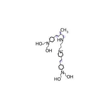 C/C=C(\C=C/NCCCC[n+]1ccc(/C=C/c2ccc(N(CCO)CCO)cc2)cc1)/C=C/c1ccc(N(CCO)CCO)cc1